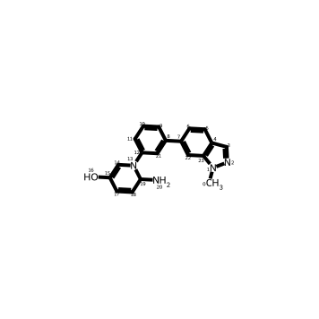 Cn1ncc2ccc(-c3cccc(N4C=C(O)C=CC4N)c3)cc21